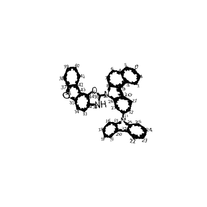 c1ccc2c(c1)ccc1c2c2ccc(-n3c4ccccc4c4ccccc43)cc2n1C1Nc2ccc3oc4ccccc4c3c2O1